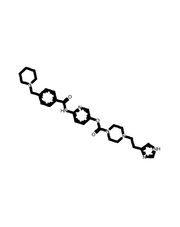 O=C(Nc1ccc(OC(=O)N2CCN(CCc3c[nH]cn3)CC2)cn1)c1ccc(CN2CCCCC2)cc1